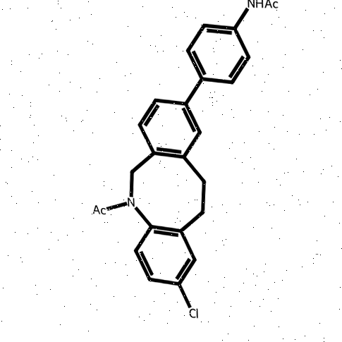 CC(=O)Nc1ccc(-c2ccc3c(c2)CCc2cc(Cl)ccc2N(C(C)=O)C3)cc1